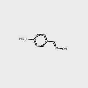 O=C(O)c1ccc(C=NO)cc1